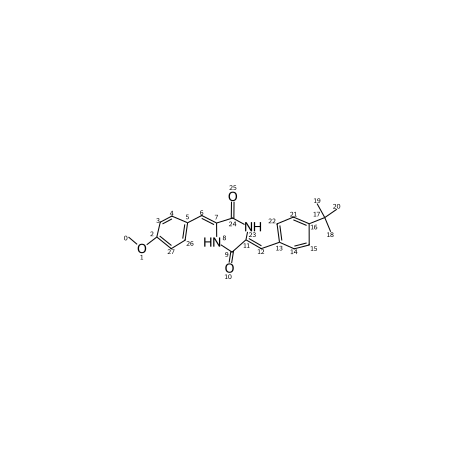 COc1ccc(/C=c2\[nH]c(=O)/c(=C/c3ccc(C(C)(C)C)cc3)[nH]c2=O)cc1